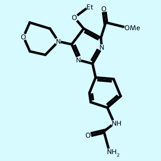 CCOc1c(C(=O)OC)nc(-c2ccc(NC(N)=O)cc2)nc1N1CCOCC1